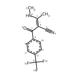 CN/C(C)=C(/C#N)C(=O)c1ccc(C(F)(F)F)cc1